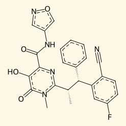 C[C@H](c1nc(C(=O)Nc2cnoc2)c(O)c(=O)n1C)[C@H](c1ccccc1)c1cc(F)ccc1C#N